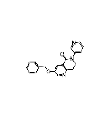 O=C1c2cc(OCc3ccccc3)cnc2CCN1c1cccnc1